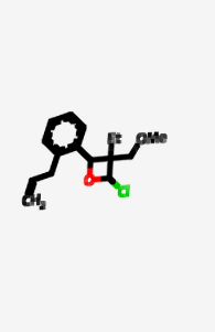 C=CCc1ccccc1C1OC(Cl)C1(CC)COC